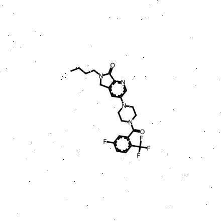 CCCCN1Cc2cc(N3CCN(C(=O)c4cc(F)ccc4C(F)(F)F)CC3)cnc2C1=O